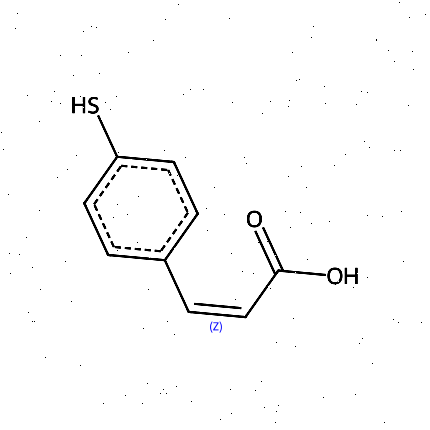 O=C(O)/C=C\c1ccc(S)cc1